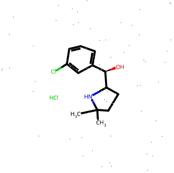 CC1(C)CCC([C@H](O)c2cccc(Cl)c2)N1.Cl